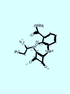 CNC(=O)c1cccc(Nc2c(NC(C)CC(C)C)c(=O)c2=O)c1O